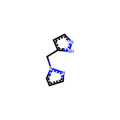 c1cnn(Cc2ccn[nH]2)c1